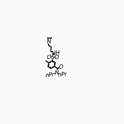 CCCN(CCC)C(=O)c1ccc(C)c(S(=O)(=O)NCCCN2CC2)c1